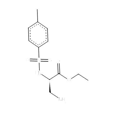 CCOC(=O)[C@@H](CN)NS(=O)(=O)c1ccc(C)cc1